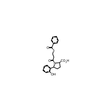 O=C(SCCC(=O)N1C(C(=O)O)CCC1c1ccccc1O)c1ccccc1